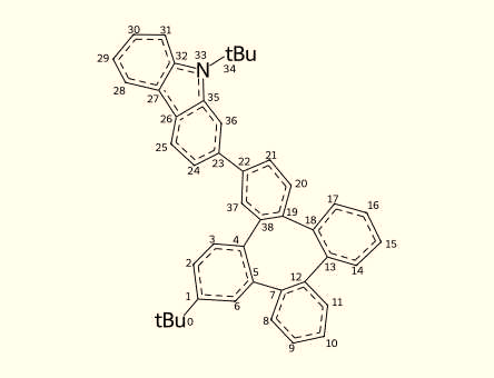 CC(C)(C)c1ccc2c(c1)-c1ccccc1-c1ccccc1-c1ccc(-c3ccc4c5ccccc5n(C(C)(C)C)c4c3)cc1-2